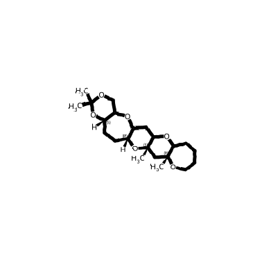 CC1(C)OCC2OC3CC4OC5CCCCO[C@]5(C)C[C@]4(C)O[C@@H]3CC[C@@H]2O1